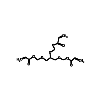 C=CC(=O)OCOCC(COCOC(=O)C=C)OCOC(=O)C=C